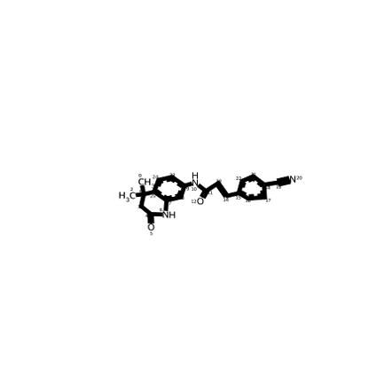 CC1(C)CC(=O)Nc2cc(NC(=O)/C=C/c3ccc(C#N)cc3)ccc21